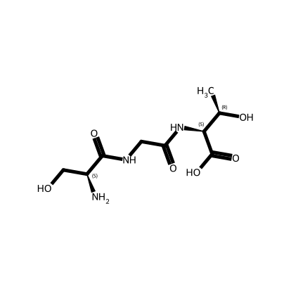 C[C@@H](O)[C@H](NC(=O)CNC(=O)[C@@H](N)CO)C(=O)O